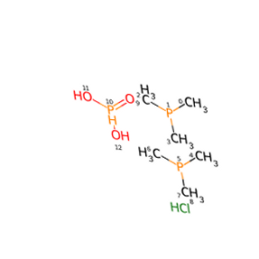 CP(C)C.CP(C)C.Cl.O=[PH](O)O